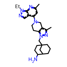 CCn1ncc2c(N3CCc4c(c(C)nn4CC45CCCC(C4)C(N)CC5)C3)cc(C)nc21